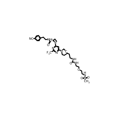 CS(=O)(=O)NCCOCCNC(=O)NCCC1CCN(c2cc(N3CC[C@H]3C(=O)NCCc3ccc(C#N)cc3)nc(C(F)(F)F)n2)CC1